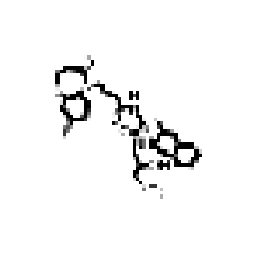 NCC(O)CNC(=O)[C@@H](Cc1ccc2ccccc2c1)NC(=O)CCCN1C(=O)CCSc2cc(F)ccc21